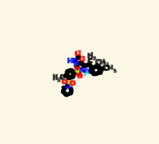 Cc1ccc(S(=O)(=O)NC(c2n[nH]c(=O)o2)C(C)c2c(F)ccc(C)c2C)cc1S(=O)(=O)N1CCCCC1